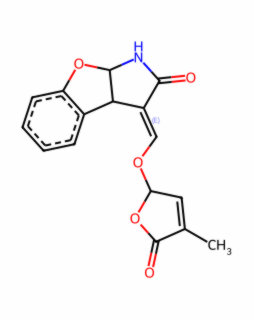 CC1=CC(O/C=C2/C(=O)NC3Oc4ccccc4C23)OC1=O